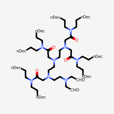 CCCCCCCCCCCCN(CCCCCCCCCCCC)C(=O)CN(CCN(CC=O)CC=O)CCN(CCN(CC(=O)N(CCCCCCCCCCCC)CCCCCCCCCCCC)CC(=O)N(CCCCCCCCCCCC)CCCCCCCCCCCC)CC(=O)N(CCCCCCCCCCCC)CCCCCCCCCCCC